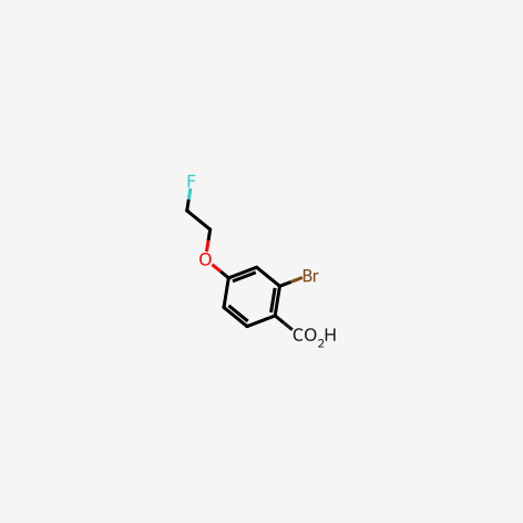 O=C(O)c1ccc(OCCF)cc1Br